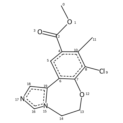 COC(=O)c1cc2c(c(Cl)c1C)OCCn1cncc1-2